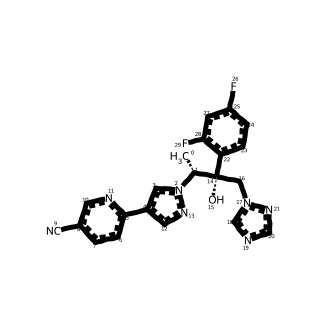 C[C@@H](n1cc(-c2ccc(C#N)cn2)cn1)[C@](O)(Cn1cncn1)c1ccc(F)cc1F